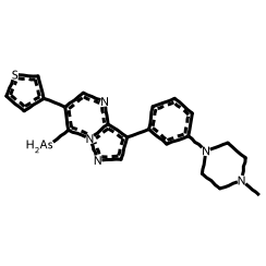 CN1CCN(c2cccc(-c3cnn4c([AsH2])c(-c5ccsc5)cnc34)c2)CC1